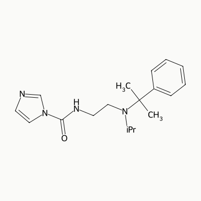 CC(C)N(CCNC(=O)n1ccnc1)C(C)(C)c1ccccc1